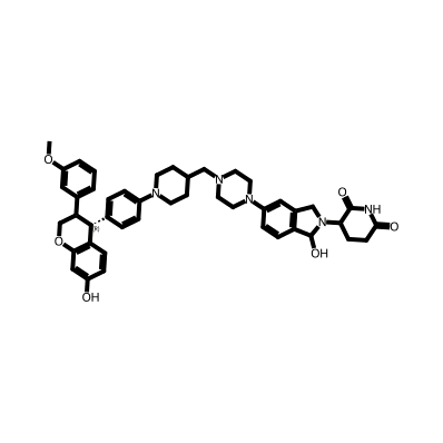 COc1cccc(C2COc3cc(O)ccc3[C@H]2c2ccc(N3CCC(CN4CCN(c5ccc6c(c5)CN(C5CCC(=O)NC5=O)C6O)CC4)CC3)cc2)c1